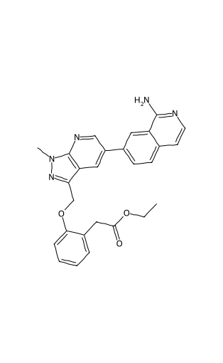 CCOC(=O)Cc1ccccc1OCc1nn(C)c2ncc(-c3ccc4ccnc(N)c4c3)cc12